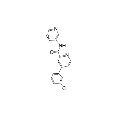 O=C(Nc1cncnc1)c1cc(-c2cccc(Cl)c2)ccn1